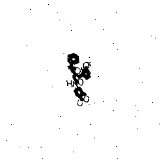 COc1cccc(CC(O)(CC(=O)Nc2ccc3c(c2)COC3=O)CC(C)(C)c2ccccc2)c1